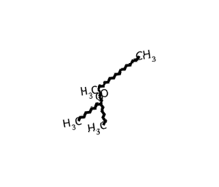 CCCCCCCCCCCCCCCC(C)C(=O)OCC(CCCCCC)CCCCCCCC